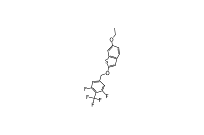 CCOc1ccc2cc(OCc3cc(F)c(C(F)(F)F)c(F)c3)sc2c1